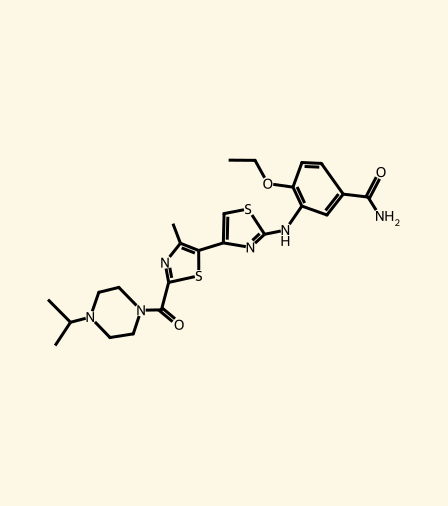 CCOc1ccc(C(N)=O)cc1Nc1nc(-c2sc(C(=O)N3CCN(C(C)C)CC3)nc2C)cs1